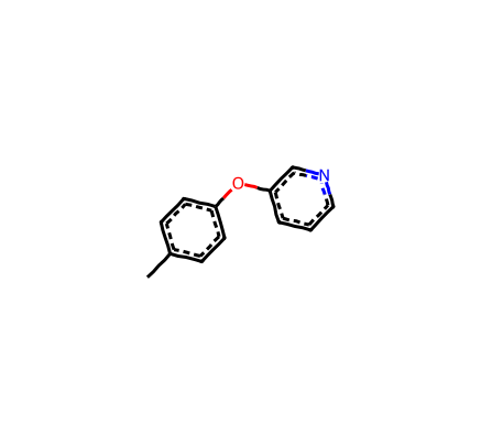 Cc1ccc(Oc2cccnc2)cc1